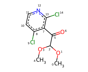 COC(OC)C(=O)c1c(Cl)ccnc1Cl